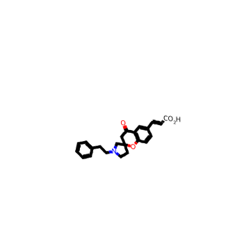 O=C(O)/C=C/c1ccc2c(c1)C(=O)CC1(CCN(CCc3ccccc3)C1)O2